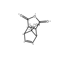 O=C1OC(=O)C2C1C1C=CC2C1(O)O